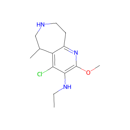 CCNc1c(OC)nc2c(c1Cl)C(C)CNCC2